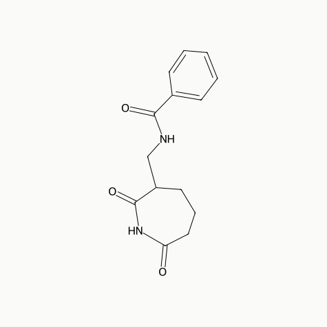 O=C1CCCC(CNC(=O)c2ccccc2)C(=O)N1